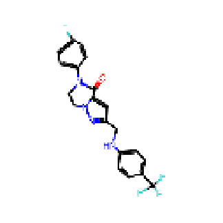 O=C1c2cc(CNc3ccc(C(F)(F)F)cc3)nn2CCN1c1ccc(F)cc1